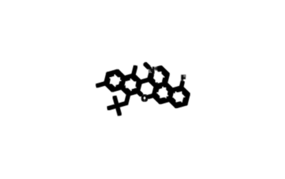 Cc1ccc2c(C)c3c(c(CC(C)(C)C)c2c1)Oc1cc2cccc(F)c2c2cc[n+](C)c-3c12